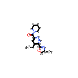 CC(C)Cc1cc(C(=O)N2CCCCC2)nnc1C1=N[C@@H](C(C)C)CO1